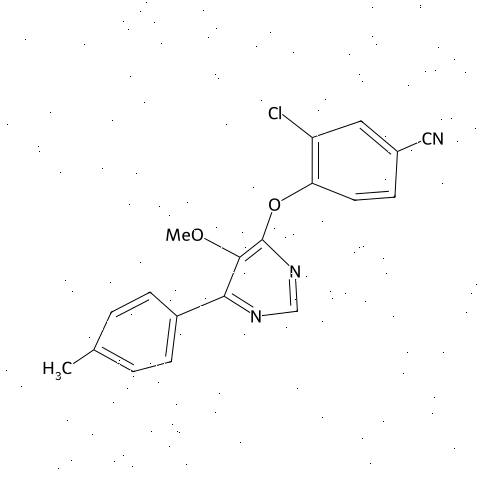 COc1c(Oc2ccc(C#N)cc2Cl)ncnc1-c1ccc(C)cc1